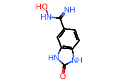 N=C(NO)c1ccc2[nH]c(=O)[nH]c2c1